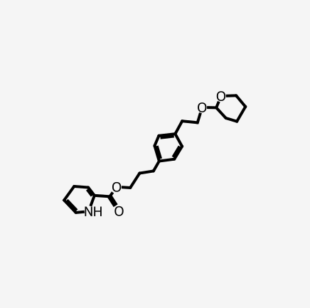 O=C(OCCCc1ccc(CCOC2CCCCO2)cc1)C1=CCC=CN1